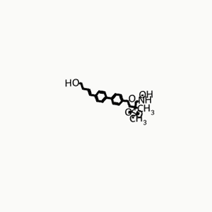 CC(CCc1ccc(-c2ccc(C=CCCO)cc2)cc1)(C(=O)NO)S(C)(=O)=O